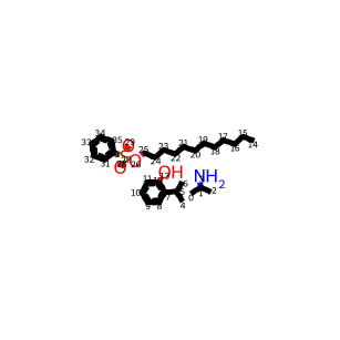 CC(C)N.CC(C)c1ccccc1O.CCCCCCCCCCCCOS(=O)(=O)c1ccccc1